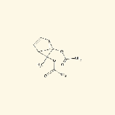 CC1(OC(N)=O)C2C=CC(C2)C1OC(N)=O